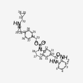 Nc1ccccc1NC(=O)c1ccc2c(c1)CCCN2C(=O)OCc1ccc(C2C[C@@H]2NCC2CC2)cc1